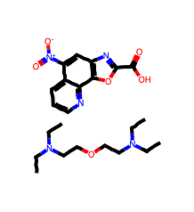 CCN(CC)CCOCCN(CC)CC.O=C(O)c1nc2cc([N+](=O)[O-])c3cccnc3c2o1